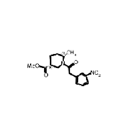 COC(=O)[C@@H]1CC[C@H](C)N(C(=O)Cc2cccc([N+](=O)[O-])c2)C1